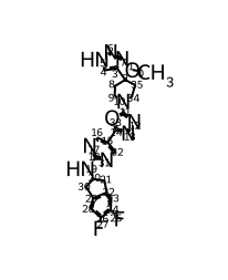 COC1(c2c[nH]nn2)CCN(c2nnc(-c3cnc(NC4Cc5cc(F)c(F)cc5C4)nc3)o2)CC1